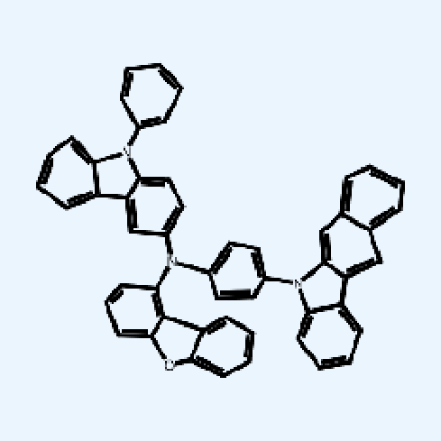 c1ccc(-n2c3ccccc3c3cc(N(c4ccc(-n5c6ccccc6c6cc7ccccc7cc65)cc4)c4cccc5oc6ccccc6c45)ccc32)cc1